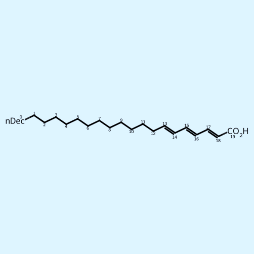 CCCCCCCCCCCCCCCCCCCCCCC=CC=CC=CC(=O)O